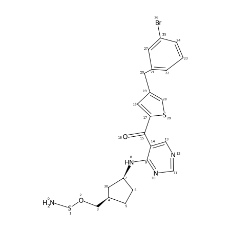 NSOC[C@@H]1CC[C@H](Nc2ncncc2C(=O)c2cc(Cc3cccc(Br)c3)cs2)C1